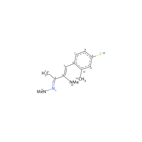 CN/N=C(C)/C(=C/c1ccc(F)cc1C)NC